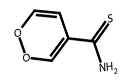 NC(=S)C1=COOC=C1